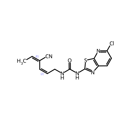 C/C=C(C#N)\C=C/CNC(=O)Nc1nc2ccc(Cl)nc2s1